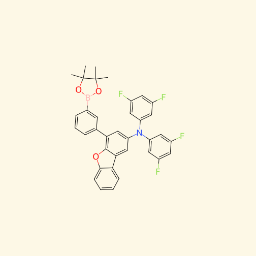 CC1(C)OB(c2cccc(-c3cc(N(c4cc(F)cc(F)c4)c4cc(F)cc(F)c4)cc4c3oc3ccccc34)c2)OC1(C)C